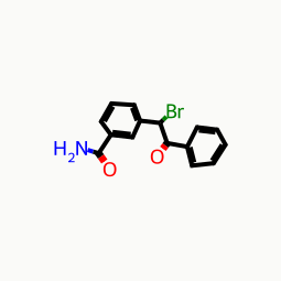 NC(=O)c1cccc(C(Br)C(=O)c2ccccc2)c1